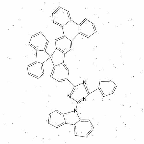 c1ccc(-c2nc(-c3ccc4c(c3)-c3cc5c6ccccc6c6ccccc6c5cc3C43c4ccccc4-c4ccccc43)nc(-n3c4ccccc4c4ccccc43)n2)cc1